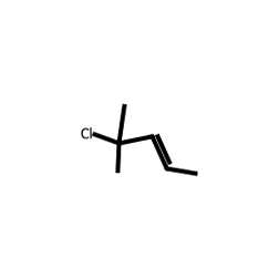 C/C=C/C(C)(C)Cl